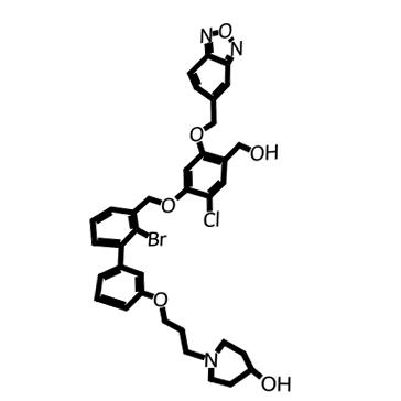 OCc1cc(Cl)c(OCc2cccc(-c3cccc(OCCCN4CCC(O)CC4)c3)c2Br)cc1OCc1ccc2nonc2c1